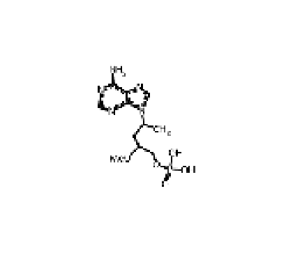 COC(COP(=O)(O)O)CC(C)n1cnc2c(N)ncnc21